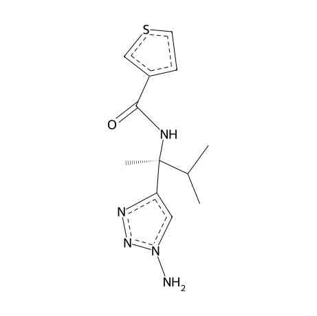 CC(C)[C@](C)(NC(=O)c1ccsc1)c1cn(N)nn1